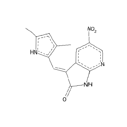 Cc1cc(C)c(C=C2C(=O)Nc3ncc([N+](=O)[O-])cc32)[nH]1